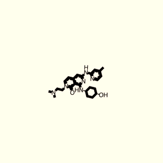 Cc1ccnc(Nc2cc3ccn(CCN(C)C)c(=O)c3c(N[C@H]3CC[C@@H](O)CC3)n2)c1